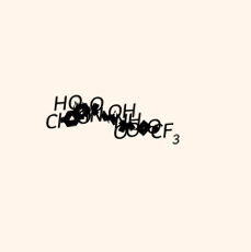 O=C(CO[C@H]1C[C@@H](OC(F)(F)F)C1)NC[C@@H](O)CCNC(=O)[C@H]1C[C@@H](O)c2cc(Cl)ccc2O1